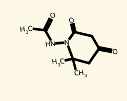 CC(=O)NN1C(=O)CC(=O)CC1(C)C